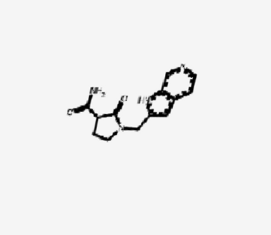 NC(=O)C1CCN(Cc2cc3ccncc3[nH]2)C1=O